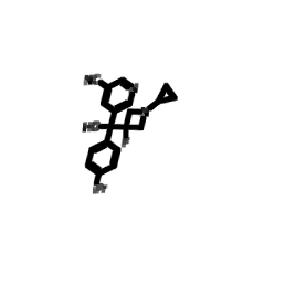 CC(C)c1ccc(C(O)(c2cncc(C#N)c2)C2(F)CN(C3CC3)C2)cc1